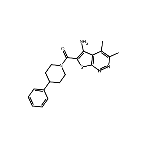 Cc1nnc2sc(C(=O)N3CCC(c4ccccc4)CC3)c(N)c2c1C